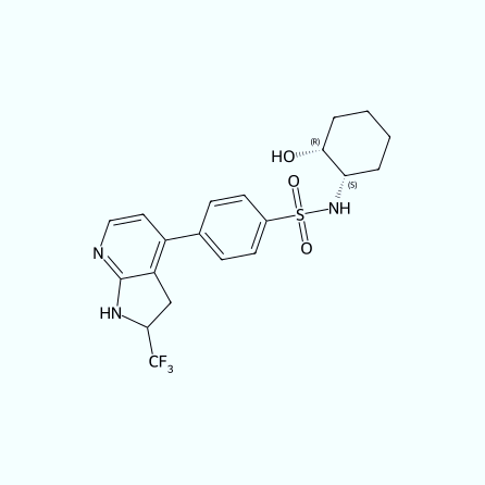 O=S(=O)(N[C@H]1CCCC[C@H]1O)c1ccc(-c2ccnc3c2CC(C(F)(F)F)N3)cc1